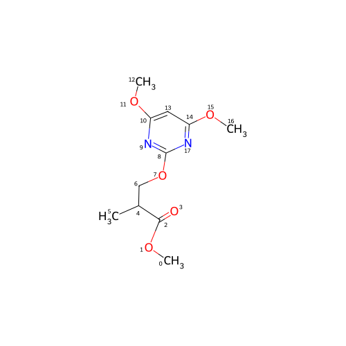 COC(=O)C(C)COc1nc(OC)cc(OC)n1